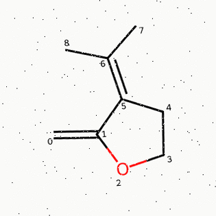 C=C1OCCC1=C(C)C